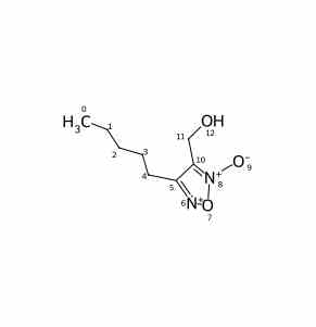 CCCCCC1=[N+]O[N+]([O-])=C1CO